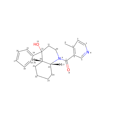 Cc1ccncc1C(=O)N1CCC(O)(c2ccccc2)[C@H]2CCCC[C@H]21